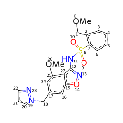 COCc1ccccc1S(=O)(=O)Nc1noc2cc(Cn3cccn3)cc(OC)c12